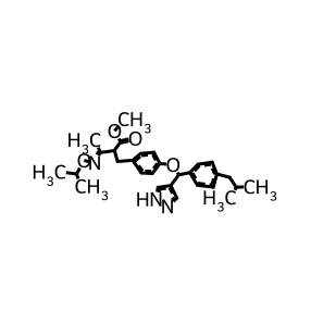 COC(=O)C(Cc1ccc(OC(c2ccc(CC(C)C)cc2)c2cn[nH]c2)cc1)C(C)=NOC(C)C